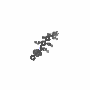 C/C(=C\c1cc(C)c(-c2ccc(NC(C)C)cc2F)cc1C)C(=O)NS(=O)(=O)c1ccccc1